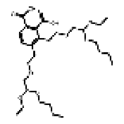 CCCCOC(COCCc1ccc(C(=O)O)c(C(=O)O)c1CCOCC(OCC)OCCCC)OCC